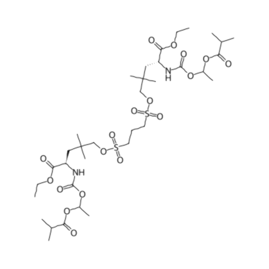 CCOC(=O)[C@@H](CC(C)(C)COS(=O)(=O)CCCS(=O)(=O)OCC(C)(C)C[C@@H](NC(=O)OC(C)OC(=O)C(C)C)C(=O)OCC)NC(=O)OC(C)OC(=O)C(C)C